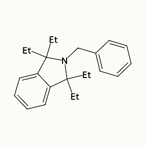 CCC1(CC)c2ccccc2C(CC)(CC)N1Cc1ccccc1